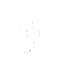 Cc1ccc([C@@H](C)C(C)C)cc1F